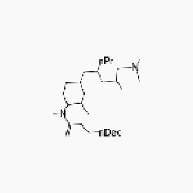 C=C(CCCCCCCCCCCC)N(C)C1CCC(CC(CCC)CC(C)CN(C)C)CC1C